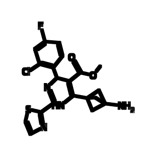 COC(=O)C1=C(C23CC(N)(C2)C3)NC(c2nccs2)=NC1c1ccc(F)cc1Cl